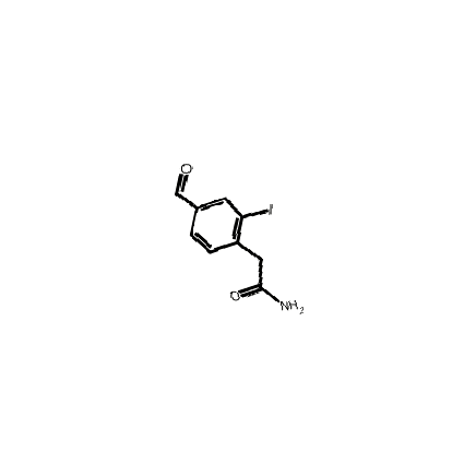 NC(=O)Cc1ccc(C=O)cc1I